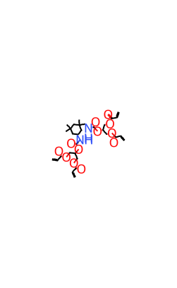 C=CC(=O)OCC(COC(=O)C=C)OC(=O)NCC1(C)CC(NC(=O)OC(COC(=O)C=C)COC(=O)C=C)CC(C)(C)C1